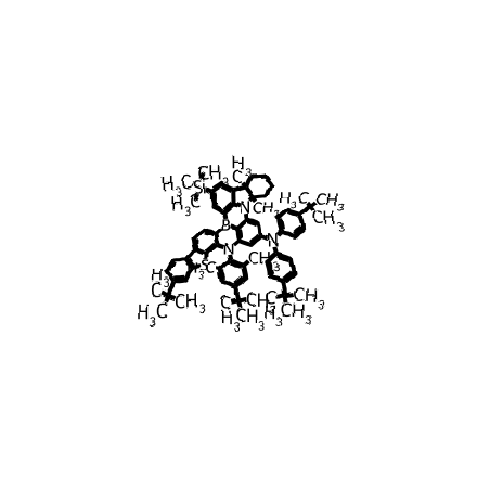 Cc1cc(C(C)(C)C)cc(C)c1N1c2cc(N(c3ccc(C(C)(C)C)cc3)c3ccc(C(C)(C)C)cc3)cc3c2B(c2cc([Si](C)(C)C)cc4c2N3C2(C)CCCCC42C)c2ccc3c(sc4cc(C(C)(C)C)ccc43)c21